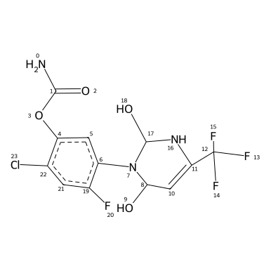 NC(=O)Oc1cc(N2C(O)C=C(C(F)(F)F)NC2O)c(F)cc1Cl